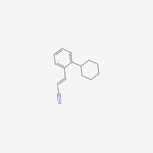 N#C/C=C/c1ccccc1C1CCCCC1